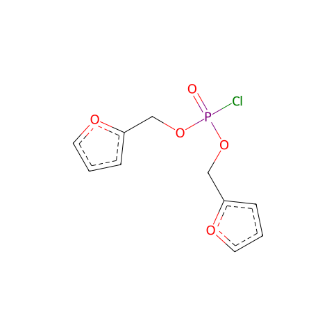 O=P(Cl)(OCc1ccco1)OCc1ccco1